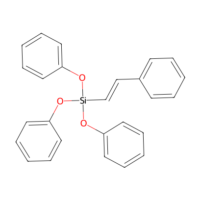 C(=C[Si](Oc1ccccc1)(Oc1ccccc1)Oc1ccccc1)c1ccccc1